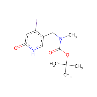 CN(Cc1c[nH]c(=O)cc1I)C(=O)OC(C)(C)C